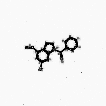 COc1cc(Br)nc2c1ccn2C(=O)c1ccccc1